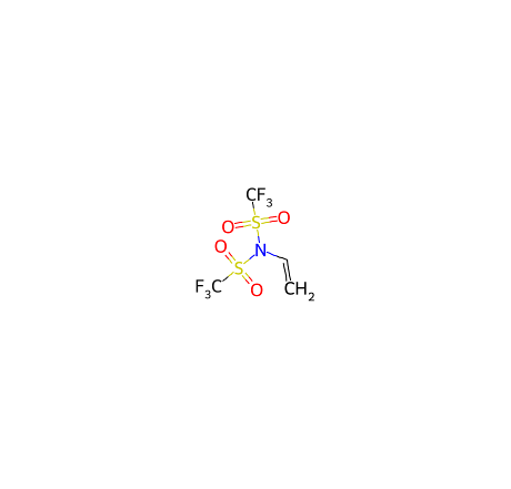 C=CN(S(=O)(=O)C(F)(F)F)S(=O)(=O)C(F)(F)F